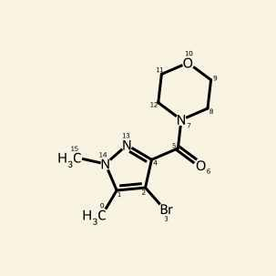 Cc1c(Br)c(C(=O)N2CCOCC2)nn1C